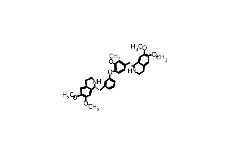 COc1cc2c(cc1OC)[C@@H](Cc1cccc(Oc3ccc(C[C@H]4NCCc5cc(OC)c(OC)cc54)cc3OC)c1)NCC2